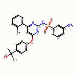 CC(C)c1ccccc1-c1cc(Oc2ccc(C(C)(O)C(F)(F)F)cc2)nc(NS(=O)(=O)c2cccc(N)c2)n1